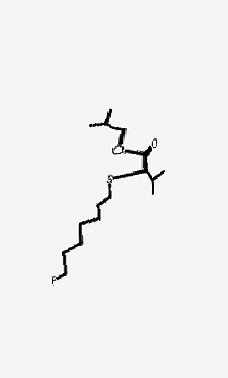 CC(C)COC(=O)C(SCCCCCCCF)C(C)C